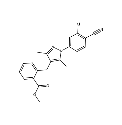 COC(=O)c1ccccc1Cc1c(C)nn(-c2ccc(C#N)c(Cl)c2)c1C